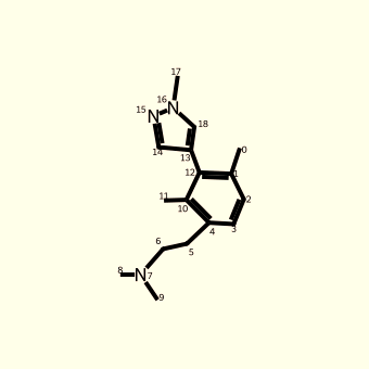 Cc1ccc(CCN(C)C)c(C)c1-c1cnn(C)c1